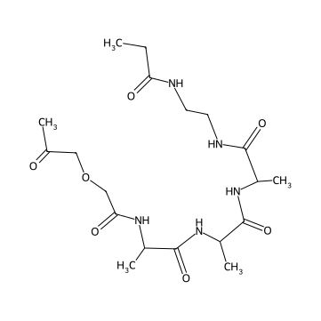 CCC(=O)NCCNC(=O)C(C)NC(=O)C(C)NC(=O)C(C)NC(=O)COCC(C)=O